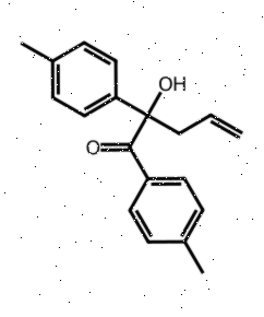 C=CCC(O)(C(=O)c1ccc(C)cc1)c1ccc(C)cc1